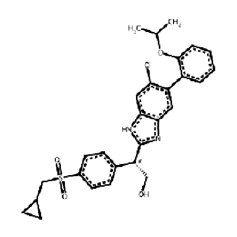 CC(C)Oc1ccccc1-c1cc2nc([C@H](CO)c3ccc(S(=O)(=O)CC4CC4)cc3)[nH]c2cc1Cl